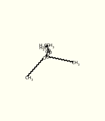 CCCCCCCCCCCCCCCCC=COC[C@H](COP(=O)([O-])OCC[N+](C)(C)C)OC=CCCCCCCCCCCCCCCCC